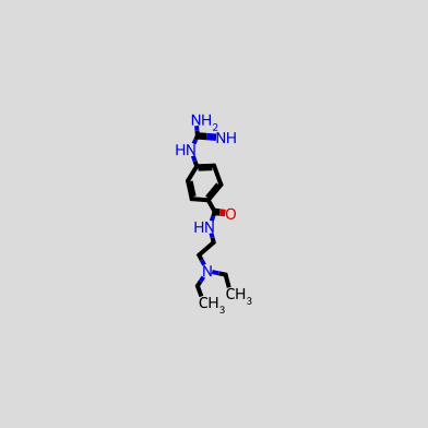 CCN(CC)CCNC(=O)c1ccc(NC(=N)N)cc1